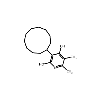 Cc1nc(O)c(C2CCCCCCCCCC2)c(O)c1C